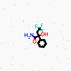 NC(=O)C(O)(CC(F)(F)F)c1ccccc1